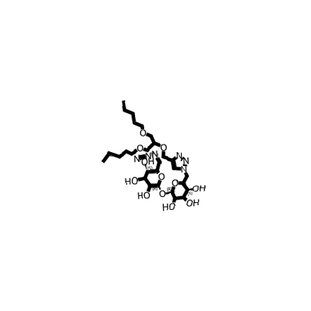 CCCCCOCC(COCCCCC)OCc1cn(CC2O[C@H](O[C@H]3OC(CN=[N+]=[N-])[C@@H](O)C(O)C3O)C(O)C(O)[C@@H]2O)nn1